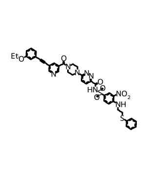 CCOc1cccc(C#Cc2cncc(C(=O)N3CCN(c4ccc(C(=O)NS(=O)(=O)c5ccc(NCCSc6ccccc6)c([N+](=O)[O-])c5)nn4)CC3)c2)c1